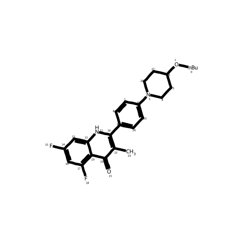 CCCCOC1CCN(c2ccc(-c3[nH]c4cc(F)cc(F)c4c(=O)c3C)cc2)CC1